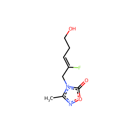 Cc1noc(=O)n1CC(F)=CCCO